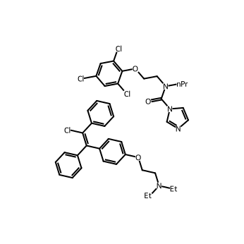 CCCN(CCOc1c(Cl)cc(Cl)cc1Cl)C(=O)n1ccnc1.CCN(CC)CCOc1ccc(/C(=C(/Cl)c2ccccc2)c2ccccc2)cc1